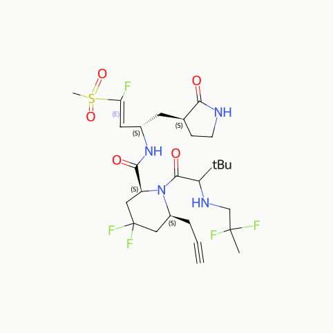 C#CC[C@H]1CC(F)(F)C[C@@H](C(=O)N[C@H](/C=C(\F)S(C)(=O)=O)C[C@@H]2CCNC2=O)N1C(=O)C(NCC(C)(F)F)C(C)(C)C